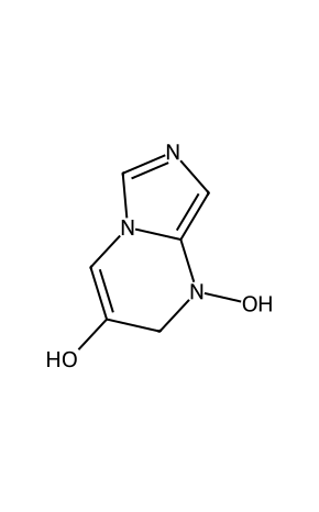 OC1=Cn2cncc2N(O)C1